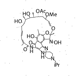 CO[C@H]1/C=C/O[C@@]2(C)Oc3c(C)c(O)c4c(c3/C2=N/O)C2=NC3(CCN(CC(C)C)CC3)NC2=C(NC(=O)/C(C)=C\C=C\[C@H](C)[C@H](O)[C@@H](C)[C@@H](O)[C@@H](C)[C@H](OC(C)=O)[C@@H]1C)C4=O